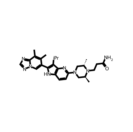 Cc1c(-c2[nH]c3ccc(N4C[C@H](C)N(CCC(N)=O)[C@@H](C)C4)nc3c2C(C)C)cn2ncnc2c1C